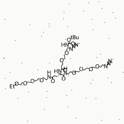 CCOCCOCCOCCOCCNC(=O)CC[C@H](NC(=O)CCOCCOCC(N=[N+]=[N-])NC(=O)OC(C)(C)C)C(=O)NCCOCCOCCOCCOCCN=[N+]=[N-]